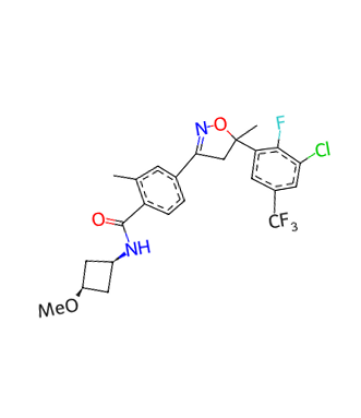 CO[C@H]1C[C@@H](NC(=O)c2ccc(C3=NOC(C)(c4cc(C(F)(F)F)cc(Cl)c4F)C3)cc2C)C1